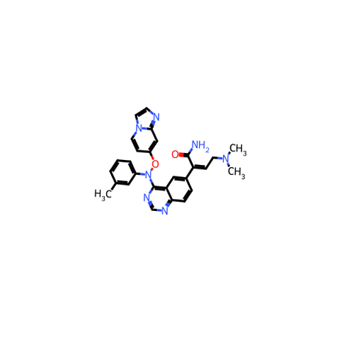 Cc1cccc(N(Oc2ccn3ccnc3c2)c2ncnc3ccc(C(=CCN(C)C)C(N)=O)cc23)c1